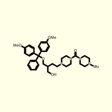 COc1ccc(C(OCC(CO)CCN2CCN(C(=O)N3CCN(C(C)(C)C)CC3)CC2)(c2ccccc2)c2ccc(OC)cc2)cc1